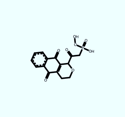 O=C1C2=C(C(=O)c3ccccc31)C(C(=O)CP(=O)(O)OO)OCC2